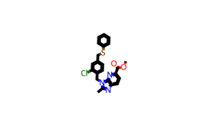 COC(=O)c1ccc2nc(C)n(Cc3ccc(CSc4ccccc4)cc3Cl)c2n1